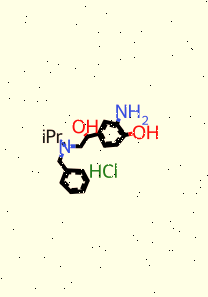 CC(C)N(Cc1ccccc1)CC(O)c1ccc(O)c(N)c1.Cl